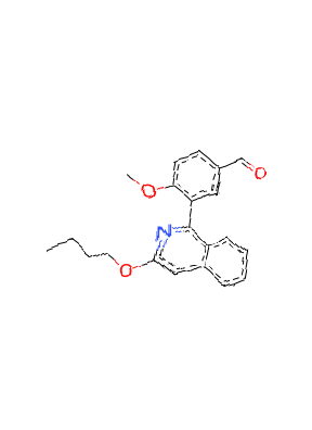 CCCCOc1cc2ccccc2c(-c2cc(C=O)ccc2OC)n1